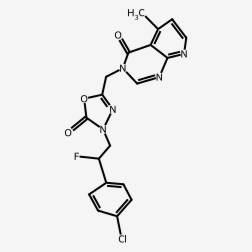 Cc1ccnc2ncn(Cc3nn(CC(F)c4ccc(Cl)cc4)c(=O)o3)c(=O)c12